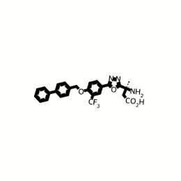 C[C@](N)(CC(=O)O)c1nnc(-c2ccc(OCc3ccc(-c4ccccc4)cc3)c(C(F)(F)F)c2)o1